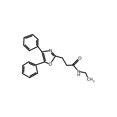 CCNC(=O)CCc1nc(-c2ccccc2)c(-c2ccccc2)o1